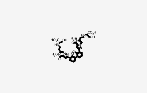 Cn1c(CCN[C@@H](CO)C(=O)O)cn2nc(-c3cccc(-c4cccc(-c5cc6c(=O)n(C)c(CCN[C@@H](CO)C(=O)O)cn6n5)c4Cl)c3Cl)cc2c1=O